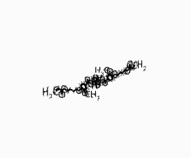 C=CC(=O)OCCCCOc1ccc(C(=O)O[C@@H]2CO[C@H]3[C@@H]2OC[C@H]3OC(=O)c2ccc(OCCCCOC(=O)C=C)c(OC)c2)cc1OC